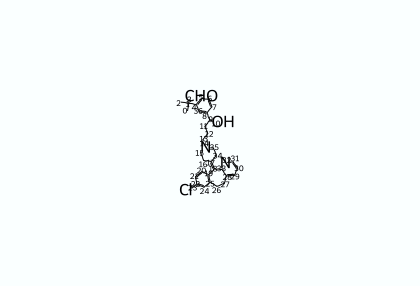 CC(C)(C=O)c1cccc(C(O)CCCN2CCC(=C3c4ccc(Cl)cc4CCc4cccnc43)CC2)c1